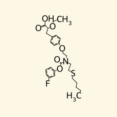 CCCCCSCCN(CCOc1ccc(CC(OCC)C(=O)O)cc1)C(=O)Oc1cccc(F)c1